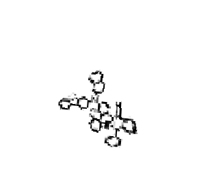 c1ccc(C2NC(c3ccc(N(c4ccc5ccccc5c4)c4ccc5c(c4)oc4ccccc45)c4oc5ccccc5c34)Nc3ccccc32)cc1